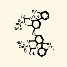 CNS(=O)(=O)OC(C)OC1=C(Cl)C(OC2C=CC(c3ccccc3C(F)(F)F)([N+](=O)[O-])C(OC(C)OS(=O)(=O)NC)=C2Cl)C=CC1(c1ccccc1C(F)(F)F)[N+](=O)[O-]